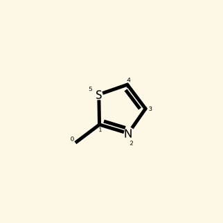 Cc1nc[c]s1